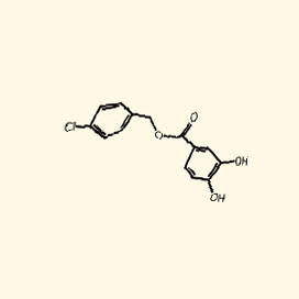 O=C(OCc1ccc(Cl)cc1)c1ccc(O)c(O)c1